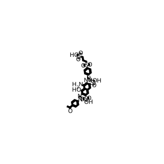 CC(=O)c1ccc(/N=N/c2c(S(=O)(=O)O)cc3cc(S(=O)(=O)O)c(/N=N/c4ccc(S(=O)(=O)CCCS(=O)(=O)O)cc4)c(N)c3c2O)cc1